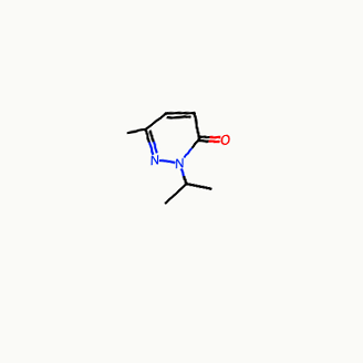 Cc1ccc(=O)n(C(C)C)n1